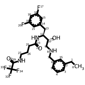 CCc1cccc(CNC[C@@H](O)[C@H](Cc2cc(F)cc(F)c2)NC(=O)CCCNC(=O)C(F)(F)F)c1